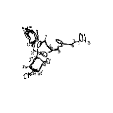 CCCCSC[C@@H]1CO[C@@](Cn2cncn2)(c2ccc(Cl)cc2Cl)O1